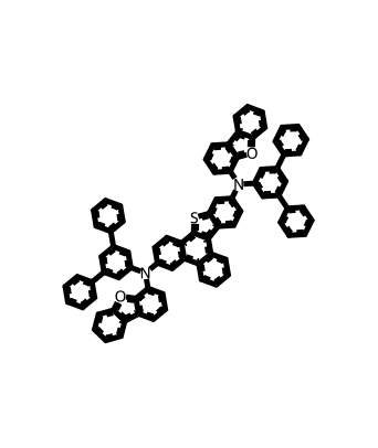 c1ccc(-c2cc(-c3ccccc3)cc(N(c3ccc4c(c3)sc3c5ccc(N(c6cc(-c7ccccc7)cc(-c7ccccc7)c6)c6cccc7c6oc6ccccc67)cc5c5ccccc5c43)c3cccc4c3oc3ccccc34)c2)cc1